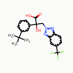 CC(C)(C)c1cccc(C(O)(Cn2nc3ccc(C(F)(F)F)cc3n2)C(=O)O)c1